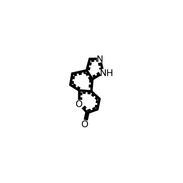 O=c1ccc2c(ccc3cn[nH]c32)o1